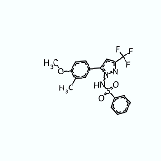 COc1ccc(-c2cc(C(F)(F)F)nn2NS(=O)(=O)c2ccccc2)cc1C